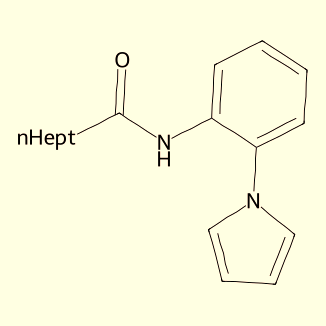 CCCCCCCC(=O)Nc1ccccc1-n1cccc1